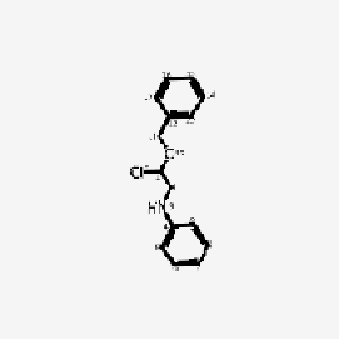 ClC(CNc1ccccc1)OCc1ccccc1